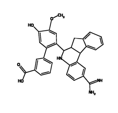 COc1cc(C2Nc3ccc(C(=N)N)cc3C3c4ccccc4CC23)c(-c2cccc(C(=O)O)c2)cc1O